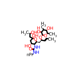 C/C=C/[C@@H](C[C@@H]1O[C@](O)(C[C@H](C)O)C[C@H](O)[C@H]1NC(=O)NCCC)OC1OC(C)C(O)C(C)C1O